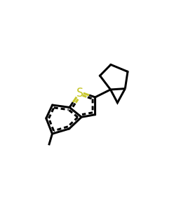 Cc1ccc2sc(C34CCCC3C4)cc2c1